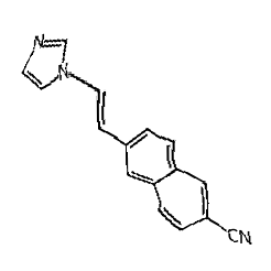 N#Cc1ccc2cc(C=Cn3ccnc3)ccc2c1